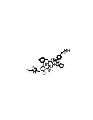 CC(C)c1nc(CN2CCN([C@H](C(=O)N[C@@H](Cc3ccccc3)[C@@H](O)CN(CC3CCCC3)S(=O)(=O)c3ccc(C=NO)cc3)C(C)C)C2=O)cs1